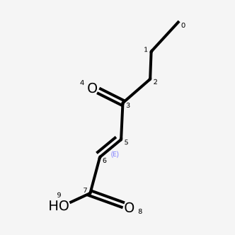 CCCC(=O)/C=C/C(=O)O